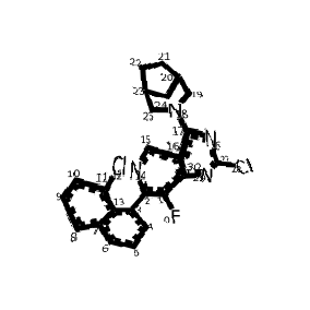 Fc1c(-c2cccc3cccc(Cl)c23)ncc2c(N3CC4CCC(C4)C3)nc(Cl)nc12